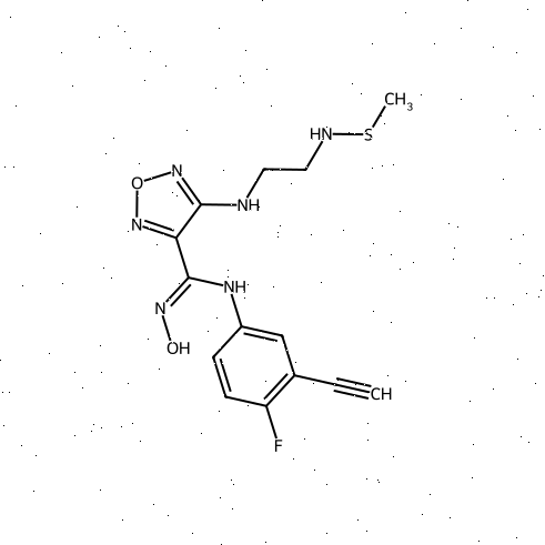 C#Cc1cc(N/C(=N\O)c2nonc2NCCNSC)ccc1F